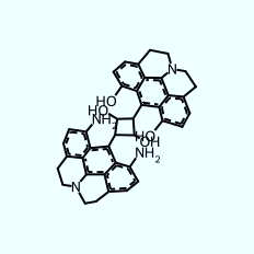 Nc1ccc2c3c4c5c(ccc(N)c5c(C5C(O)C(c6c7c(O)ccc8c7c7c9c(ccc(O)c69)CCN7CC8)C5O)c13)CCN4CC2